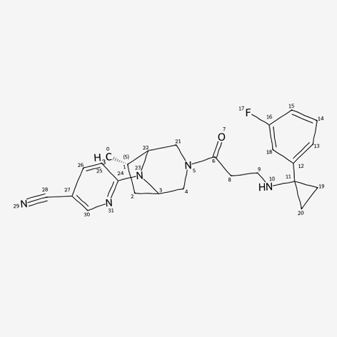 C[C@H]1CC2CN(C(=O)CCNC3(c4cccc(F)c4)CC3)CC1N2c1ccc(C#N)cn1